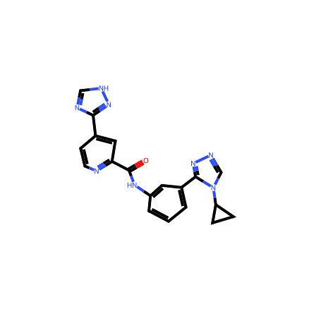 O=C(Nc1cccc(-c2nncn2C2CC2)c1)c1cc(-c2nc[nH]n2)ccn1